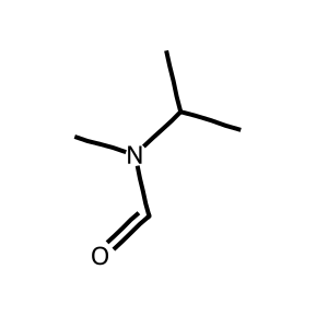 CC(C)N(C)C=O